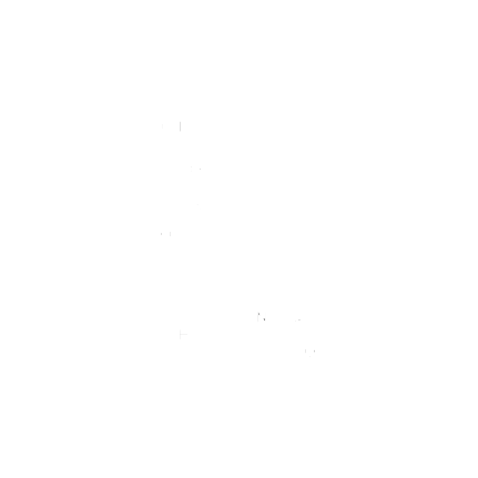 CCOC(=O)c1ccc2c(c1)N(CC)C(=O)C2